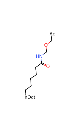 CCCCCCCCCCCCCC(=O)NCOCC(C)=O